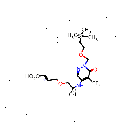 C[C@@H](COC/C=C/C(=O)O)Nc1cnn(COCC[Si](C)(C)C)c(=O)c1C(F)(F)F